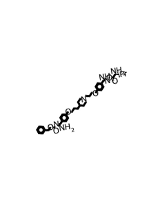 CC(C)[C@H](N)C(=O)O/N=C(\N)c1ccc(OCCCN2CCC(CCCOc3ccc(/C(N)=N/C(=O)OCc4ccccc4)cc3)CC2)cc1